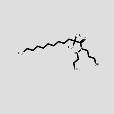 CCCCCCCCCCC(C)(C)C(=O)N(CCCO)NCCC